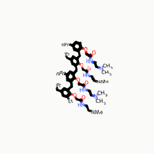 CCCc1ccc(OCC(=O)NCCN(C)C)c(Cc2cc(CC(C)C)cc(Cc3cc(CCC)cc(Cc4cc(CC(C)C)cc(CC)c4OCC(=O)NCCNC)c3OCC(=O)NCCN(C)C)c2OCC(=O)NCCNC)c1